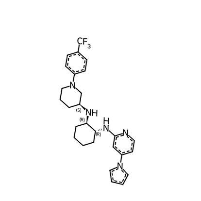 FC(F)(F)c1ccc(N2CCC[C@H](N[C@@H]3CCCC[C@H]3Nc3cc(-n4cccc4)ccn3)C2)cc1